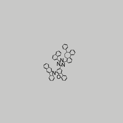 C1=CC2c3cc4ccccc4cc3N(c3cc(-c4nc(-c5cccc6c5CCC(c5ccccc5)c5ccccc5-6)nc(-c5cccc6ccccc56)n4)cc4c3oc3ccccc34)C2C=C1